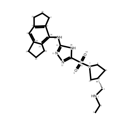 CCNC[C@H]1CCN(S(=O)(=O)c2nnc(Nc3c4c(cc5c3CCC5)CCC4)[nH]2)C1